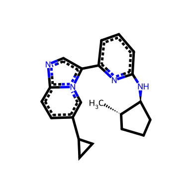 C[C@H]1CCC[C@@H]1Nc1cccc(-c2cnc3ccc(C4CC4)cn23)n1